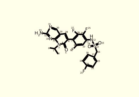 CC(C)n1c(=O)c(-c2c(F)cc(NS(=O)(=O)Cc3ccc(F)cc3)c(F)c2F)cc2cnc(N)nc21